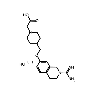 Cl.Cl.N=C(N)N1CCc2ccc(OCC3CCN(CC(=O)O)CC3)cc2C1